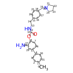 Cc1ccc(-c2ccc(OC(=O)NCCc3ccc(CN4CCCC4)cc3)c(N)c2)cc1